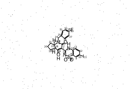 O=C1C(C2=NS(=O)(=O)c3cc(I)ccc3N2)=C(O)[C@@H]2CCC[C@@H]2N1Cc1ccc(F)cc1